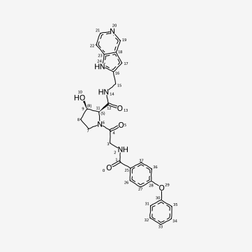 O=C(NCC(=O)N1CC[C@@H](O)[C@H]1C(=O)NCc1cc2cnccc2[nH]1)c1ccc(Oc2ccccc2)cc1